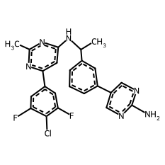 Cc1nc(NC(C)c2cccc(-c3cnc(N)nc3)c2)cc(-c2cc(F)c(Cl)c(F)c2)n1